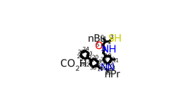 CCCCC(CS)C(=O)NCc1cc(C)c2nc(CCC)n(Cc3ccc(-c4ccccc4C(=O)O)cc3)c2c1